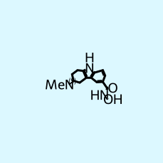 CN[C@H]1CCc2[nH]c3ccc(C(=O)NO)cc3c2C1